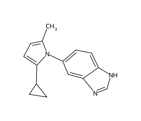 Cc1[c]cc(C2CC2)n1-c1ccc2[nH]cnc2c1